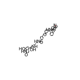 O=C(NC(c1ccccc1)c1cccc(OCc2ccc(C(=O)NCCCCNC[C@@H](O)c3ccc(O)c4[nH]c(=O)ccc34)cc2)c1)O[C@H]1CN2CCC1CC2